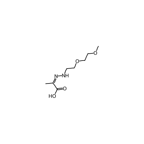 COCCOCCNN=C(C)C(=O)O